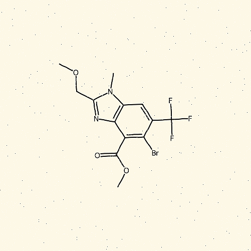 COCc1nc2c(C(=O)OC)c(Br)c(C(F)(F)F)cc2n1C